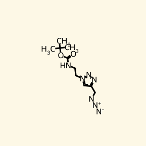 CC(C)(C)OC(=O)NCCn1cc(CN=[N+]=[N-])nn1